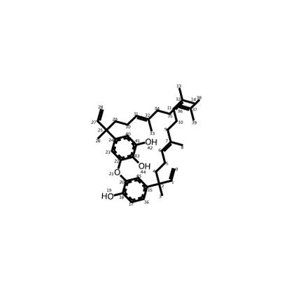 C=CC(C)(CC/C=C(\C)CCC=C(C)C)c1ccc(O)c(Oc2cc(C(C)(C=C)CC/C=C(\C)CCC=C(C)C)cc(O)c2O)c1